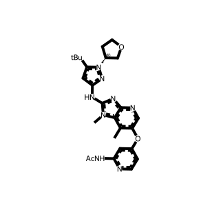 CC(=O)Nc1cc(Oc2cnc3nc(Nc4cc(C(C)(C)C)n([C@@H]5CCOC5)n4)n(C)c3c2C)ccn1